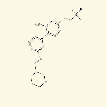 Cc1cc(OCC(F)(F)F)ccc1-c1cncc(OCC2CCCCO2)c1